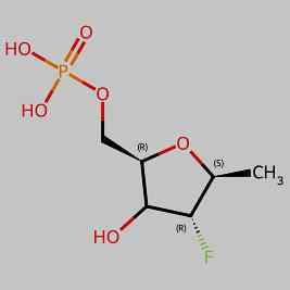 C[C@@H]1O[C@H](COP(=O)(O)O)C(O)[C@H]1F